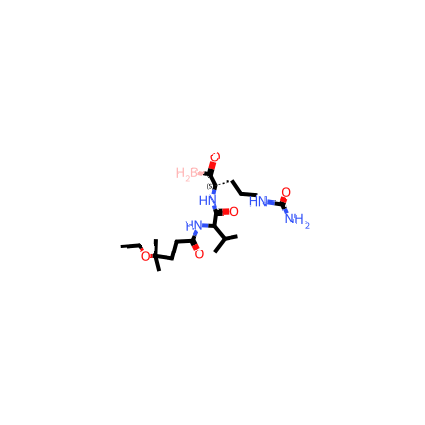 BC(=O)[C@H](CCCNC(N)=O)NC(=O)C(NC(=O)CCC(C)(C)OCC)C(C)C